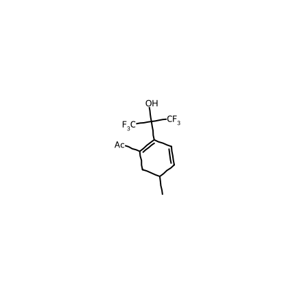 CC(=O)C1=C(C(O)(C(F)(F)F)C(F)(F)F)C=CC(C)C1